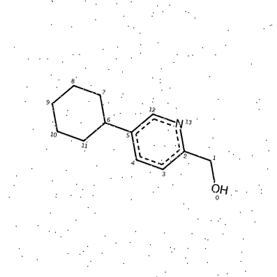 OCc1ccc(C2CCCCC2)cn1